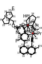 CC(C)[Si](C#Cc1c(F)ccc2cccc(-c3nc4c5c(nc(OC[C@@]67CCCN6C[C@H](F)C7)nc5c3F)N3C[C@H]5CC[C@@H]([C@@H]3[C@@H](C)[C@H]4C)N5C(=O)OC(C)(C)C)c12)(C(C)C)C(C)C